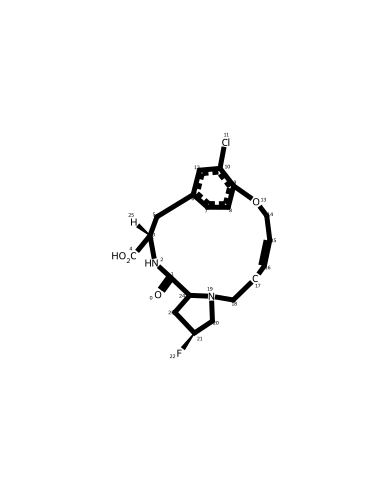 O=C1N[C@H](C(=O)O)Cc2ccc(c(Cl)c2)OCC=CCCN2C[C@@H](F)CC12